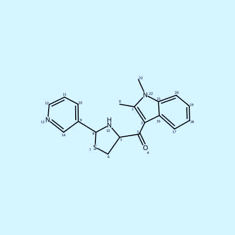 Cc1c(C(=O)C2CSC(c3cccnc3)N2)c2ccccc2n1C